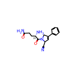 N#CC1C=C(c2ccccc2)CN1C(=O)[C@@H](N)CCC(N)=O